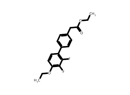 CCOC(=O)Cc1ccc(-c2ccc(OCC)c(F)c2F)cc1